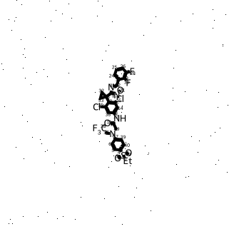 CCS(=O)(=O)c1ccc(N(CC(=O)Nc2cc(Cl)c(C3(c4noc(-c5cccc(F)c5F)n4)CC3)c(Cl)c2)CC(F)(F)F)cc1